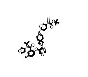 CC(C)N(C(=O)c1cc(F)ccc1Oc1cncnc1N1CC2(CCN(C[C@H]3CC[C@H](NC(=O)OC(C)(C)C)CO3)CC2)C1)[C@@H]1CCOC1